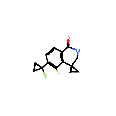 O=C1NCC2(CC2)c2c1ccc(C1(F)CC1)c2F